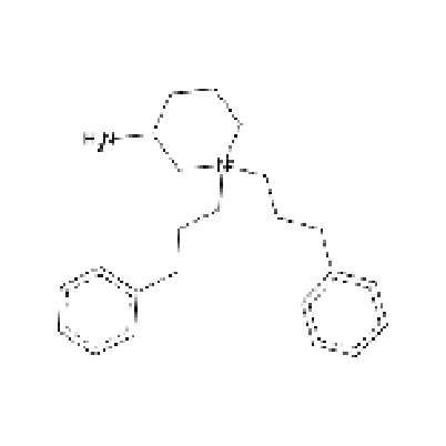 NC1CCC[N+](CCCc2ccccc2)(CCCc2ccccc2)C1